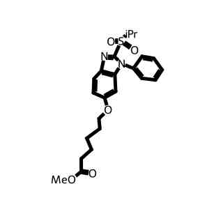 COC(=O)CCCCCOc1ccc2nc(S(=O)(=O)C(C)C)n(-c3ccccc3)c2c1